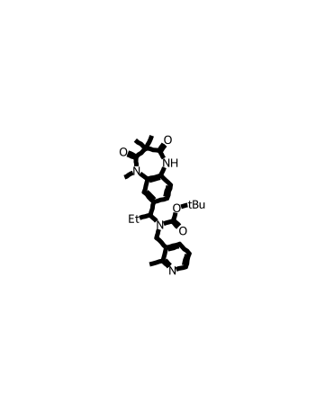 CCC(c1ccc2c(c1)N(C)C(=O)C(C)(C)C(=O)N2)N(Cc1cccnc1C)C(=O)OC(C)(C)C